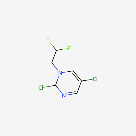 FC(F)CN1C=C(Cl)C=NC1Cl